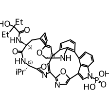 CCC(O)(CC)C(=O)N[C@H]1Cc2ccc3c(c2)[C@]24c5cccc(c5NC2O3)-c2cccc3c2c(cn3P(=O)(O)O)-c2cnc(o2)-c2nc(oc24)[C@H](C(C)C)NC1=O